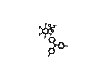 Cc1ccc([S+](c2ccccc2)c2ccc(C)cc2)cc1.O=S(=O)([O-])c1c(F)c(F)c(F)c(F)c1F